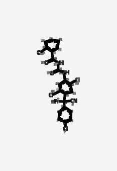 CCCC(C#N)(c1ccc(Cl)cc1)c1cc(Cl)c(NC(=O)NC(=O)c2ccccc2Cl)cc1Cl